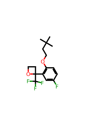 CC(C)(C)CCOc1ccc(F)cc1C1(C(F)(F)F)CCO1